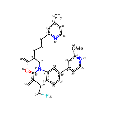 C=CC(CCCc1cc(C(F)(F)F)ccn1)CN(C(=O)C(=C)CCF)c1cccc(-c2ccnc(OC)c2)c1